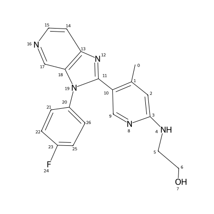 Cc1cc(NCCO)ncc1-c1nc2ccncc2n1-c1ccc(F)cc1